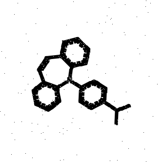 CC(C)c1ccc(N2c3ccccc3C=Cc3ccccc32)cc1